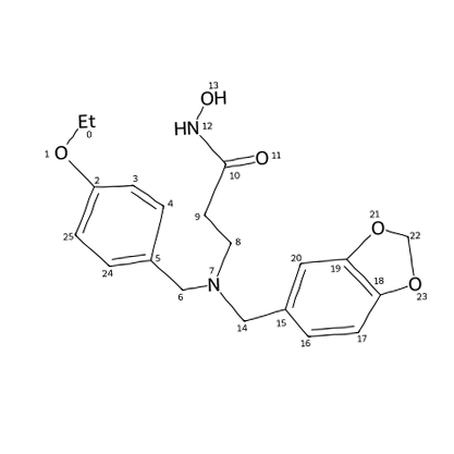 CCOc1ccc(CN(CCC(=O)NO)Cc2ccc3c(c2)OCO3)cc1